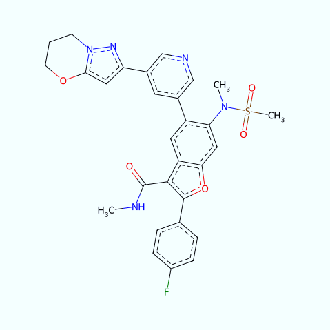 CNC(=O)c1c(-c2ccc(F)cc2)oc2cc(N(C)S(C)(=O)=O)c(-c3cncc(-c4cc5n(n4)CCCO5)c3)cc12